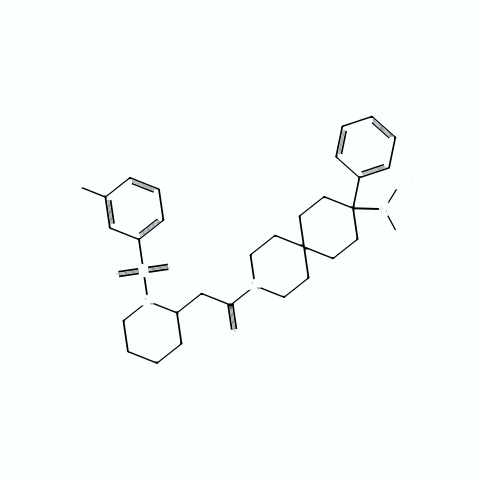 CN(C)C1(c2ccccc2)CCC2(CCN(C(=O)CC3CCCCN3S(=O)(=O)c3cccc(C(F)(F)F)c3)CC2)CC1